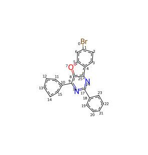 Brc1ccc2c(c1)oc1c(-c3ccccc3)nc(-c3ccccc3)nc12